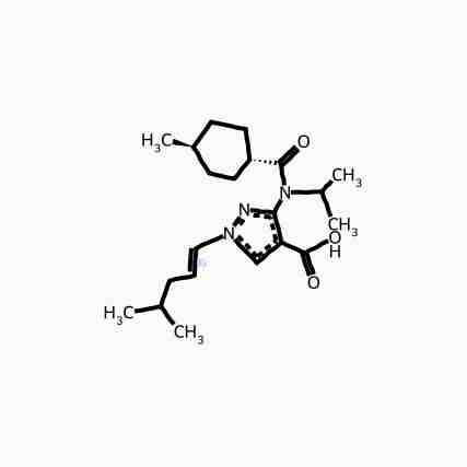 CC(C)C/C=C/n1cc(C(=O)O)c(N(C(=O)[C@H]2CC[C@H](C)CC2)C(C)C)n1